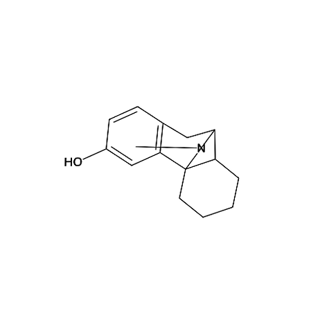 CN1CC2Cc3ccc(O)cc3C13CCCCC23